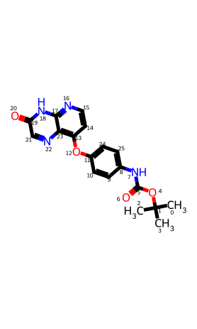 CC(C)(C)OC(=O)Nc1ccc(Oc2ccnc3[nH]c(=O)cnc23)cc1